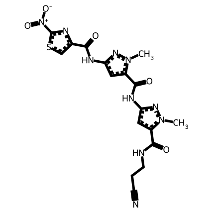 Cn1nc(NC(=O)c2cc(NC(=O)c3csc([N+](=O)[O-])n3)nn2C)cc1C(=O)NCCC#N